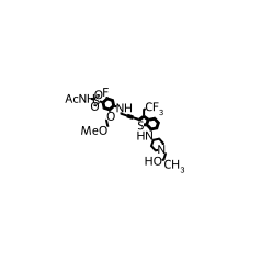 COCCOc1cc(S(=O)(=O)NC(C)=O)c(F)cc1NCC#Cc1sc2c(NC3CCN(CC(C)O)CC3)cccc2c1CC(F)(F)F